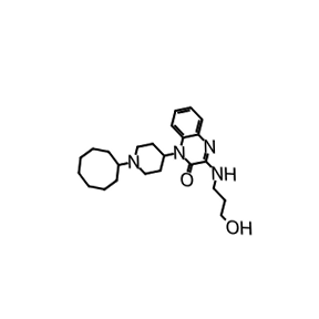 O=c1c(NCCCO)nc2ccccc2n1C1CCN(C2CCCCCCC2)CC1